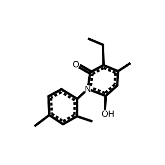 CCc1c(C)cc(O)n(-c2ccc(C)cc2C)c1=O